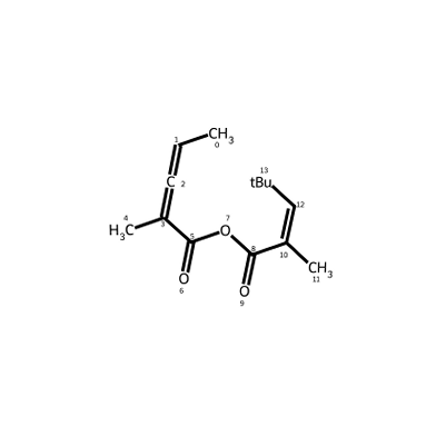 CC=C=C(C)C(=O)OC(=O)C(C)=CC(C)(C)C